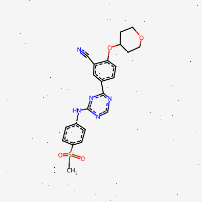 CS(=O)(=O)c1ccc(Nc2ncnc(-c3ccc(OC4CCOCC4)c(C#N)c3)n2)cc1